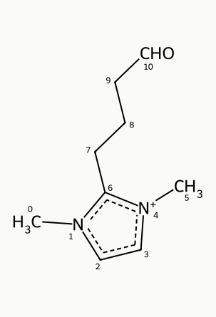 Cn1cc[n+](C)c1CCCC=O